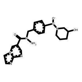 NN(Cc1ccc([S+]([O-])N2CCCC(O)C2)cc1)C(=O)c1cnc2nccn2c1